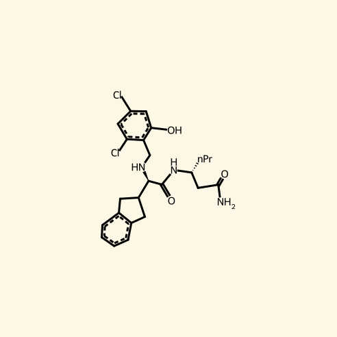 CCC[C@H](CC(N)=O)NC(=O)[C@H](NCc1c(O)cc(Cl)cc1Cl)C1Cc2ccccc2C1